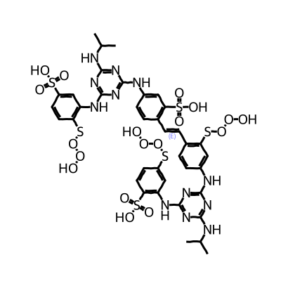 CC(C)Nc1nc(Nc2ccc(/C=C/c3ccc(Nc4nc(Nc5cc(SOOO)ccc5S(=O)(=O)O)nc(NC(C)C)n4)cc3SOOO)c(S(=O)(=O)O)c2)nc(Nc2cc(S(=O)(=O)O)ccc2SOOO)n1